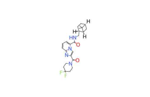 CC1(C)[C@H]2CC[C@@H](CNC(=O)c3cccc4nc(C(=O)N5CCC(F)(F)CC5)cn34)[C@H]1C2